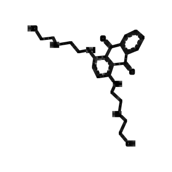 O=C1c2ccccc2C(=O)c2c(NCCNCCO)ccc(NCCNCCO)c21